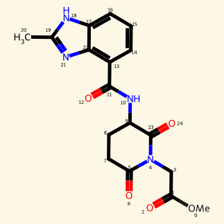 COC(=O)CN1C(=O)CCC(NC(=O)c2cccc3[nH]c(C)nc23)C1=O